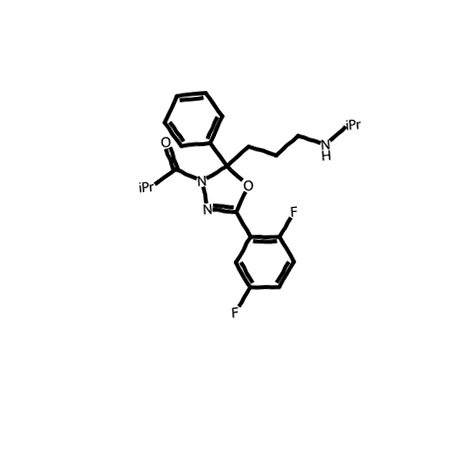 CC(C)NCCCC1(c2ccccc2)OC(c2cc(F)ccc2F)=NN1C(=O)C(C)C